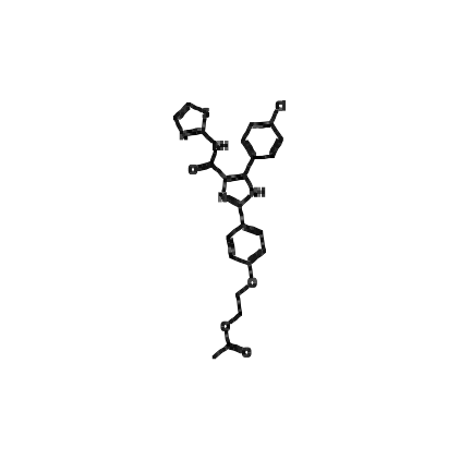 CC(=O)OCCOc1ccc(-c2nc(C(=O)Nc3nccs3)c(-c3ccc(Cl)cc3)[nH]2)cc1